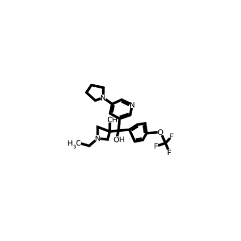 CCN1CC(C)(C(O)(c2ccc(OC(F)(F)F)cc2)c2cncc(N3CCCC3)c2)C1